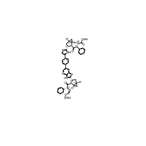 COO/C=N\[C@@H](C(=O)N1[C@H](c2nc3cc(-c4ccc(-c5cnc([C@@H]6C[C@@H]7C[C@@H]7N6C(=O)[C@H](NC(=O)OC)c6ccccc6)[nH]5)cc4)cnc3[nH]2)C[C@@H]2C[C@@H]21)c1ccccc1